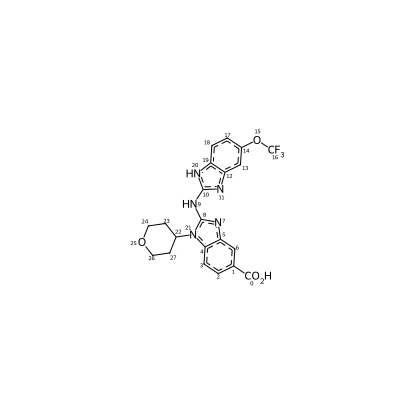 O=C(O)c1ccc2c(c1)nc(Nc1nc3cc(OC(F)(F)F)ccc3[nH]1)n2C1CCOCC1